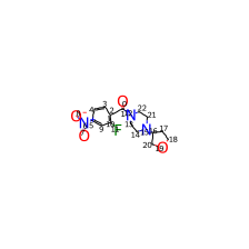 O=C(c1ccc([N+](=O)[O-])cc1F)N1CCN(C2CCOC2)CC1